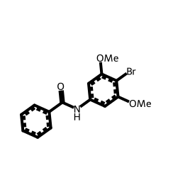 COc1cc(NC(=O)c2ccccc2)cc(OC)c1Br